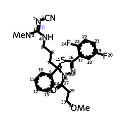 CN/C(=N/C#N)NCCCC1(c2ccccc2)SC(c2cc(F)ccc2F)=NN1C(=O)CCOC